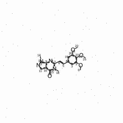 COc1cc(/C=C/c2nc3c(cnn3C)c(=O)n2C)cc(OC)c1OC